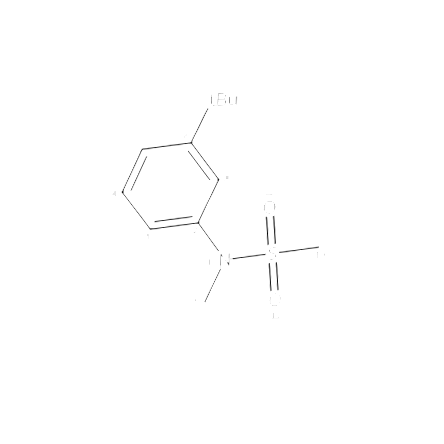 CN(c1cccc(C(C)(C)C)c1)S(C)(=O)=O